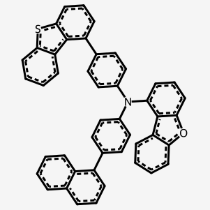 c1ccc2c(-c3ccc(N(c4ccc(-c5cccc6sc7ccccc7c56)cc4)c4cccc5oc6ccccc6c45)cc3)cccc2c1